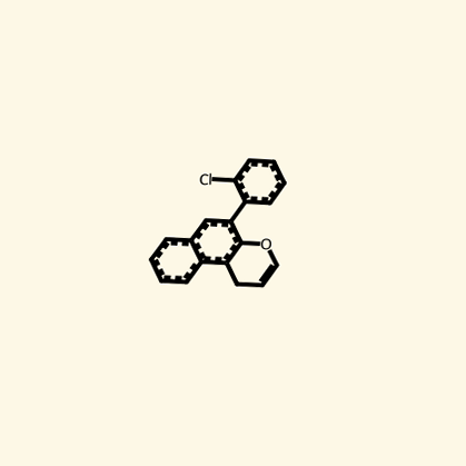 Clc1ccccc1-c1cc2ccccc2c2c1OC=CC2